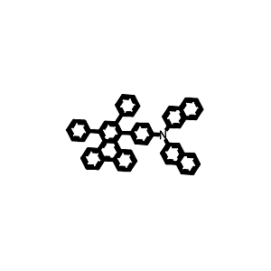 c1ccc(-c2cc(-c3ccccc3)c3c4ccccc4c4ccccc4c3c2-c2ccc(N(c3ccc4ccccc4c3)c3ccc4ccccc4c3)cc2)cc1